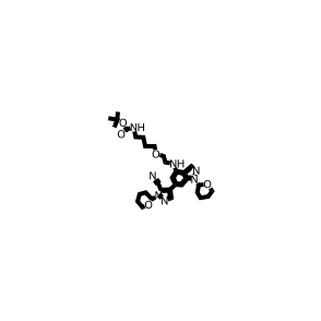 CC(C)(C)OC(=O)NCCCCOCCNc1cc(-c2cnn(C3CCCCO3)c2C#N)cc2c1cnn2C1CCCCO1